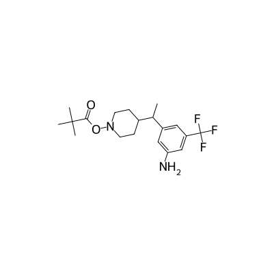 CC(c1cc(N)cc(C(F)(F)F)c1)C1CCN(OC(=O)C(C)(C)C)CC1